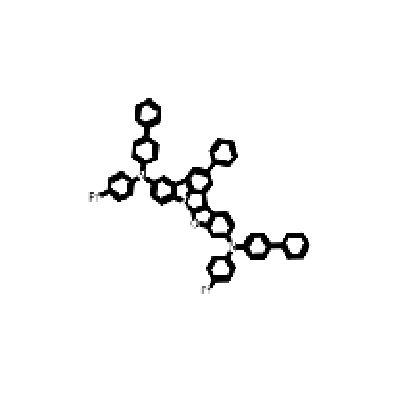 CC(C)c1ccc(N(c2ccc(-c3ccccc3)cc2)c2ccc3c(c2)oc2c3c3cc(-c4ccccc4)cc4c5cc(N(c6ccc(-c7ccccc7)cc6)c6ccc(C(C)C)cc6)ccc5n2c43)cc1